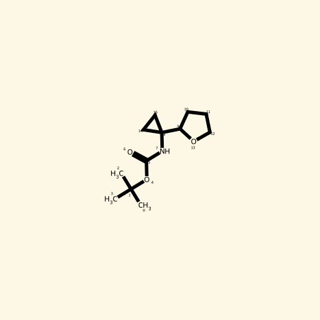 CC(C)(C)OC(=O)NC1(C2CCCO2)CC1